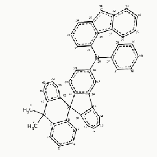 CC1(C)c2ccccc2C2(c3ccccc3-c3cc(N(c4ccccc4)c4cccc5sc6ccccc6c45)ccc32)c2ccccc21